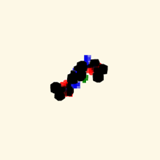 O=C(Nc1ccc(CN(Cc2ccc(NC(=O)[C@@H]3CCCN3C(=O)C(c3ccccc3)C3(O)CCCC3)cc2)c2ccc(F)cc2)cc1)[C@@H]1CCCN1C(=O)C(c1ccccc1)C1(O)CCCC1